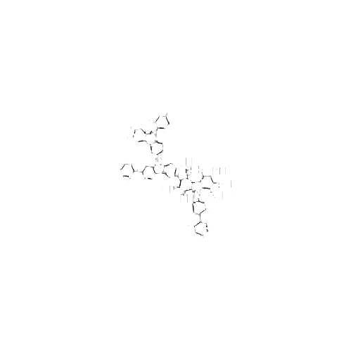 Bc1c(B)c(B)c2c(c1B)c1c(B)c(-c3ccc4c(c3)c3ccc(-c5ccccc5)cc3n4-c3ccc4c(c3)c3ccccc3n4-c3ccccc3)c(B)c(B)c1n2-c1ccc(-c2ccccc2)cc1